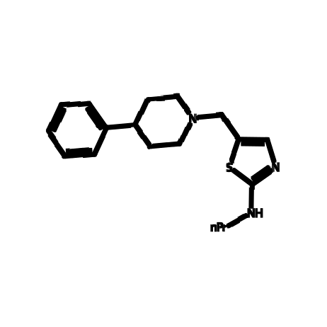 CCCNc1ncc(CN2CCC(c3ccccc3)CC2)s1